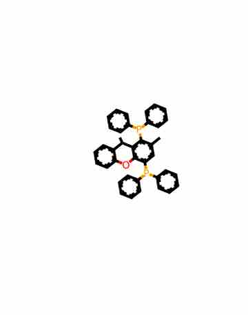 Cc1cc(P(c2ccccc2)c2ccccc2)c2c(c1P(c1ccccc1)c1ccccc1)C(C)c1ccccc1O2